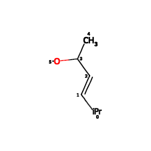 CC(C)C=CC(C)[O]